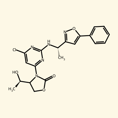 C[C@H](Nc1nc(Cl)cc(N2C(=O)OCC2[C@@H](C)O)n1)c1cc(-c2ccccc2)on1